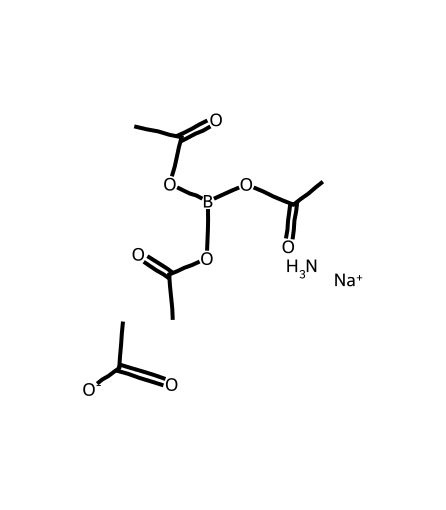 CC(=O)OB(OC(C)=O)OC(C)=O.CC(=O)[O-].N.[Na+]